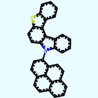 c1cc2ccc3ccc(-n4c5ccccc5c5c6c(ccc54)sc4ccccc46)c4ccc(c1)c2c34